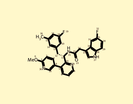 COc1ccc(-c2cccnc2[C@H](Cc2cc(C)cc(F)c2)NC(=O)Cc2c[nH]c3ccc(F)cc23)cn1